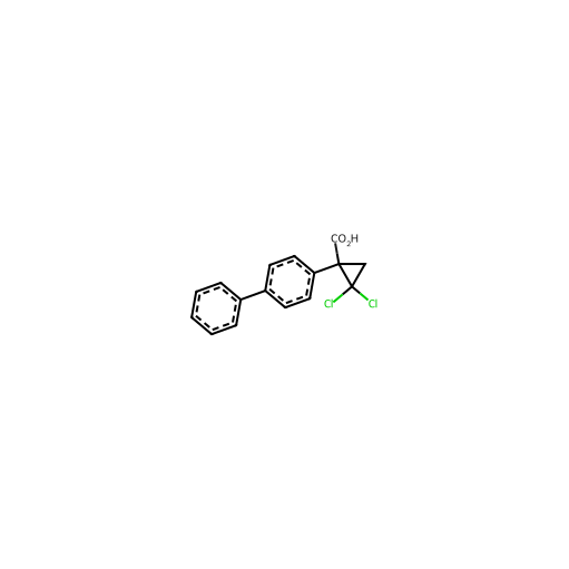 O=C(O)C1(c2ccc(-c3ccccc3)cc2)CC1(Cl)Cl